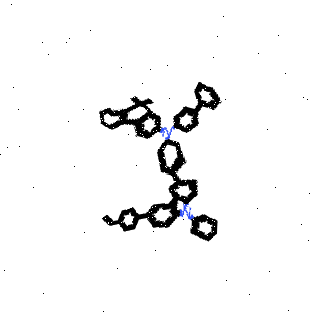 C=Cc1ccc(-c2ccc3c(c2)c2cc(C4=CCC(N(c5ccc(-c6ccccc6)cc5)c5ccc6c(c5)C(C)(C)C5=CCCC=C56)C=C4)ccc2n3-c2ccccc2)cc1